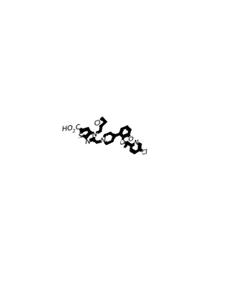 CC1(c2ccc(Cl)cn2)Oc2cccc(C3CCN(Cc4nc5sc(C(=O)O)cc5n4CC4CCO4)CC3)c2O1